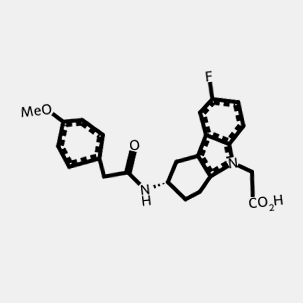 COc1ccc(CC(=O)N[C@H]2CCc3c(c4cc(F)ccc4n3CC(=O)O)C2)cc1